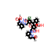 COC(=O)c1ccc2cccc(NCc3c4oc5c(CNc6cccc7ccc(C(C)=O)nc67)c(O)ccc5c(-c5ccccc5C(=O)O)c-4cc(Cl)c3=O)c2n1